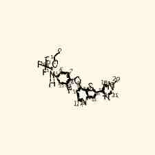 CCOC(Nc1ccc(Oc2ccnc3cc(-c4cn(C)cn4)sc23)c(F)c1)C(F)(F)F